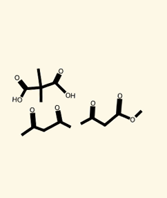 CC(=O)CC(C)=O.CC(C)(C(=O)O)C(=O)O.COC(=O)CC(C)=O